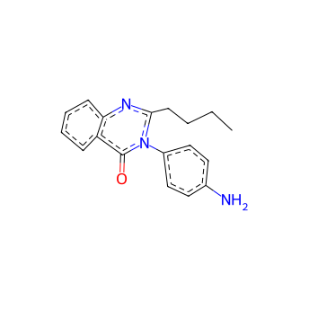 CCCCc1nc2ccccc2c(=O)n1-c1ccc(N)cc1